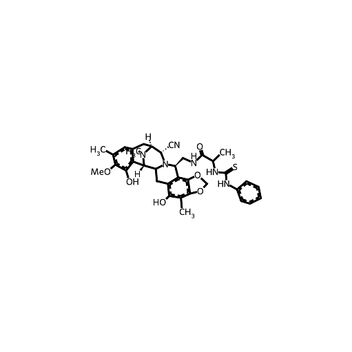 COc1c(C)cc2c(c1O)[C@H]1C3Cc4c(O)c(C)c5c(c4[C@H](CNC(=O)C(C)NC(=S)Nc4ccccc4)N3[C@@H](C#N)[C@H](C2)N1C)OCO5